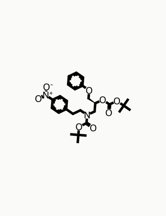 CC(C)(C)OC(=O)O[C@H](COc1ccccc1)CN(CCc1ccc([N+](=O)[O-])cc1)C(=O)OC(C)(C)C